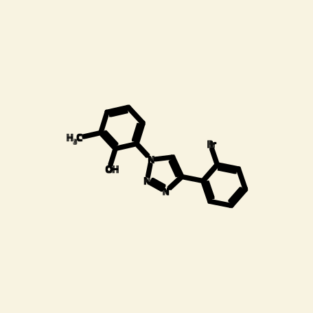 Cc1cccc(-n2cc(-c3ccccc3Br)nn2)c1O